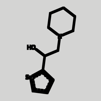 OC(CN1CCCCC1)c1ccc[se]1